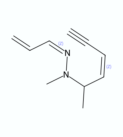 C#C/C=C\C(C)N(C)/N=C\C=C